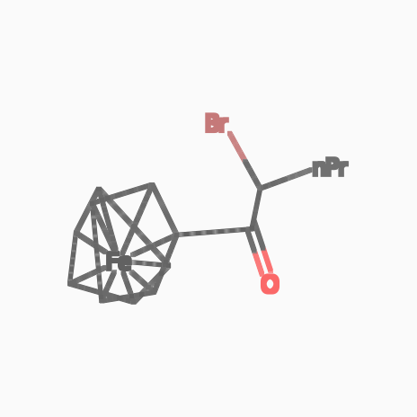 CCCC(Br)C(=O)[C]12[CH]3[CH]4[CH]5[CH]1[Fe]45321678[CH]2[CH]1[CH]6[CH]7[CH]28